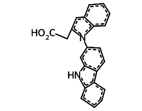 O=C(O)Cc1cc2ccccc2n1-c1ccc2c(c1)[nH]c1ccccc12